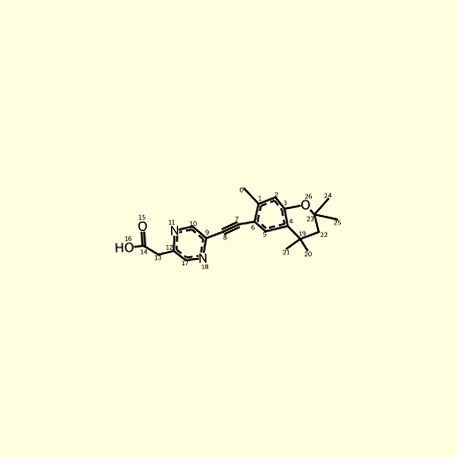 Cc1cc2c(cc1C#Cc1cnc(CC(=O)O)cn1)C(C)(C)CC(C)(C)O2